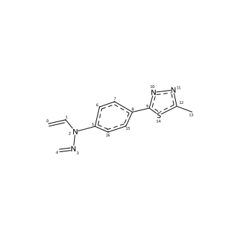 C=CN(N=C)c1ccc(-c2nnc(C)s2)cc1